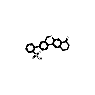 O=C1CCCc2cc3c(cc21)OCc1cc(-c2ccccc2S(=O)(=O)O)ccc1-3